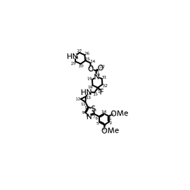 COc1cc(OC)cc(-c2ncc(C3CC3NCC3(F)CCN(C(=O)OCC4CCNCC4)CC3)s2)c1